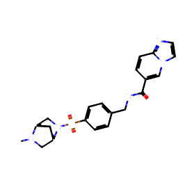 CC(=O)N1CC2CC1CN2S(=O)(=O)c1ccc(CNC(=O)c2ccc3nccn3c2)cc1